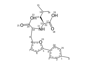 Cc1ccc(-c2ccc(CC(N[C@@H](CC(C)C)C(=O)O)C(=O)O)o2)cc1